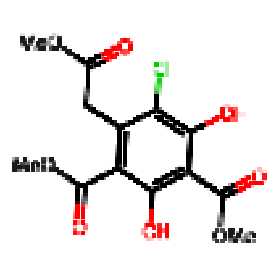 COC(=O)Cc1c(Cl)c(O)c(C(=O)OC)c(O)c1C(=O)OC